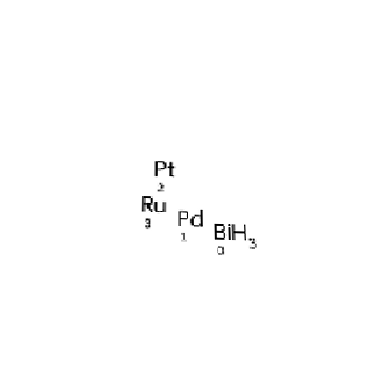 [BiH3].[Pd].[Pt].[Ru]